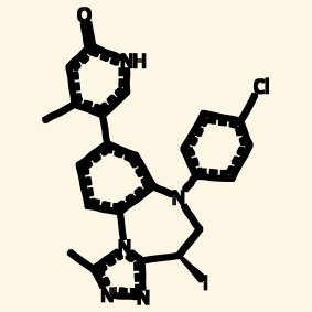 Cc1cc(=O)[nH]cc1-c1ccc2c(c1)N(c1ccc(Cl)cc1)C[C@@H](I)c1nnc(C)n1-2